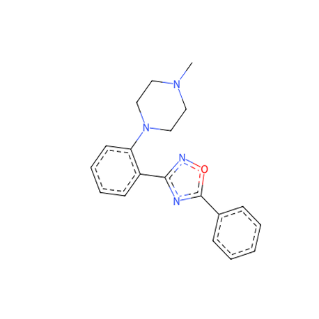 CN1CCN(c2ccccc2-c2noc(-c3ccccc3)n2)CC1